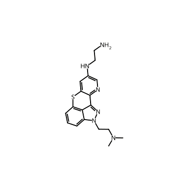 CN(C)CCn1nc2c3c(cccc31)Sc1cc(NCCN)cnc1-2